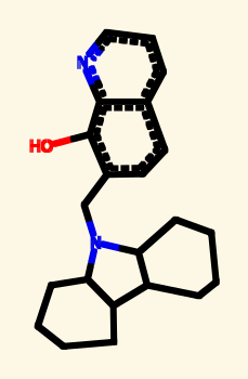 Oc1c(CN2C3CCCCC3C3CCCCC32)ccc2cccnc12